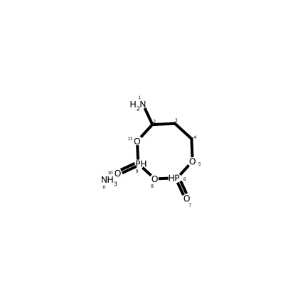 N.NC1CCO[PH](=O)O[PH](=O)O1